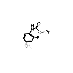 Cc1ccc(NC(=O)OC(C)C)c(F)c1